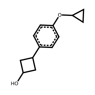 OC1CC(c2ccc(OC3CC3)cc2)C1